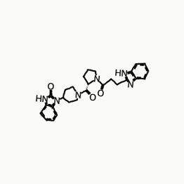 O=C([C@@H]1CCCN1C(=O)CCc1nc2ccccc2[nH]1)N1CCC(n2c(=O)[nH]c3ccccc32)CC1